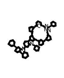 c1ccc(-c2ccc3c4ccccc4n(-c4ccc5c6cc7cc(c8cccc(c8)c8cccc(c8)c8nc(-c9ccccc9)nc(n8)c8cccc(c8)c8cccc7c8)c6n(-c6ccccc6)c5c4)c3c2)cc1